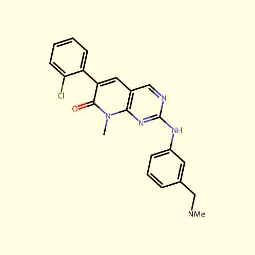 CNCc1cccc(Nc2ncc3cc(-c4ccccc4Cl)c(=O)n(C)c3n2)c1